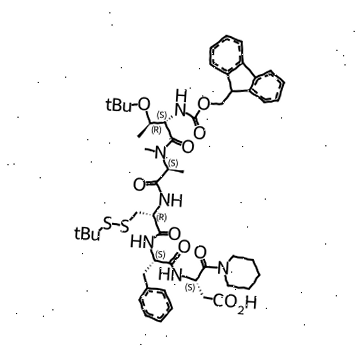 C[C@@H](OC(C)(C)C)[C@H](NC(=O)OCC1c2ccccc2-c2ccccc21)C(=O)N(C)[C@@H](C)C(=O)N[C@@H](CSSC(C)(C)C)C(=O)N[C@@H](Cc1ccccc1)C(=O)N[C@@H](CC(=O)O)C(=O)N1CCCCC1